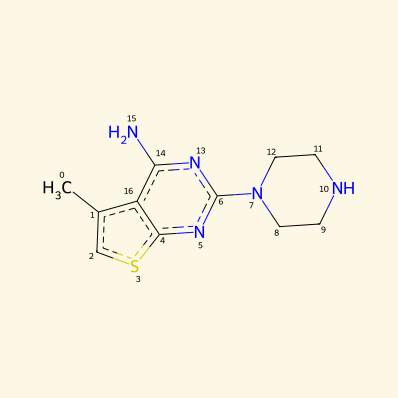 Cc1csc2nc(N3CCNCC3)nc(N)c12